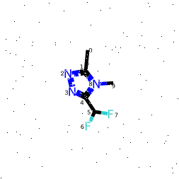 Cc1nnc(C(F)F)n1C